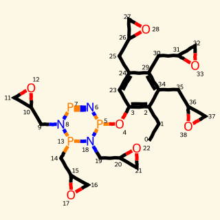 CCc1c(Op2npn(CC3CO3)p(CC3CO3)n2CC2CO2)cc(CC2CO2)c(CC2CO2)c1CC1CO1